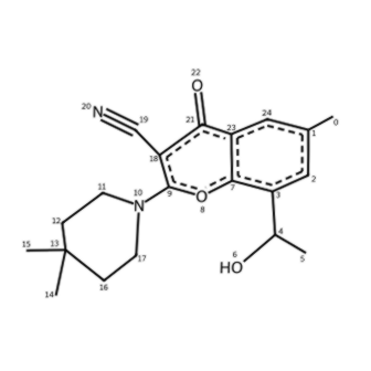 Cc1cc(C(C)O)c2oc(N3CCC(C)(C)CC3)c(C#N)c(=O)c2c1